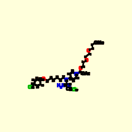 COCCOCCOCCOC(OC(C)=O)[n+]1ccc(N(CCCCCCOc2ccc(Cl)cc2)C(N)=NC#N)cc1.[Cl-]